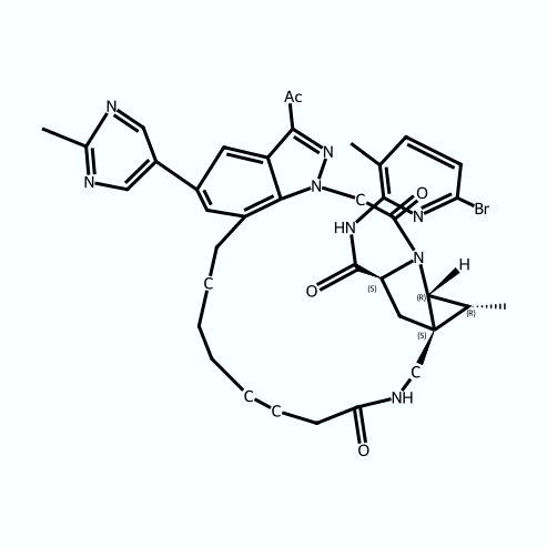 CC(=O)c1nn2c3c(cc(-c4cnc(C)nc4)cc13)CCCCCCCC(=O)NC[C@@]13C[C@@H](C(=O)Nc4nc(Br)ccc4C)N(C(=O)C2)[C@@H]1[C@@H]3C